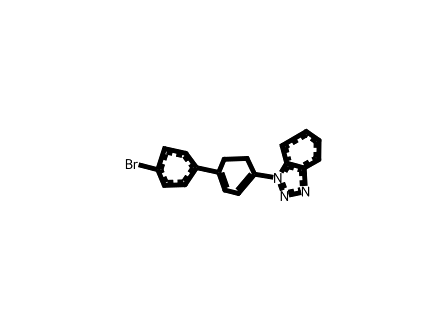 Brc1ccc(C2=CC=C(n3nnc4ccccc43)CC2)cc1